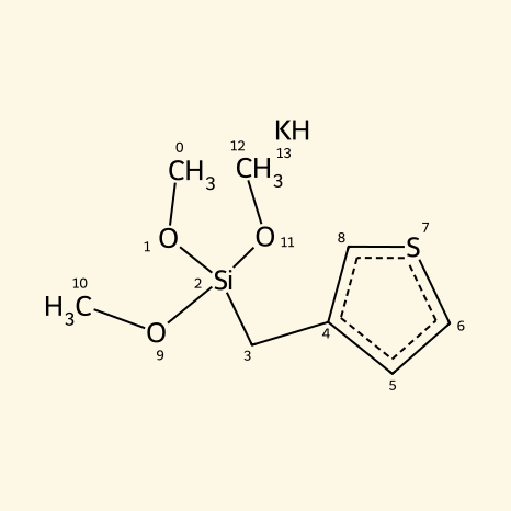 CO[Si](Cc1ccsc1)(OC)OC.[KH]